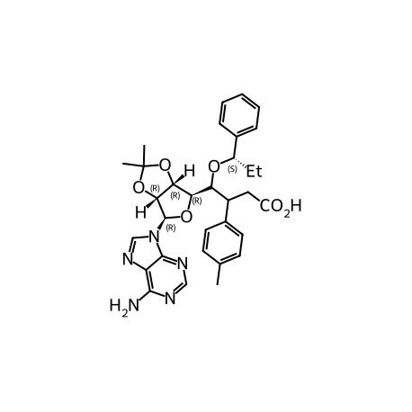 CC[C@H](OC(C(CC(=O)O)c1ccc(C)cc1)[C@H]1O[C@@H](n2cnc3c(N)ncnc32)[C@@H]2OC(C)(C)O[C@@H]21)c1ccccc1